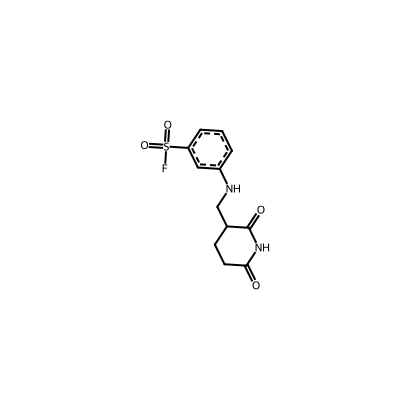 O=C1CCC(CNc2cccc(S(=O)(=O)F)c2)C(=O)N1